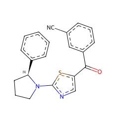 N#Cc1cccc(C(=O)c2cnc(N3CCC[C@H]3c3ccccc3)s2)c1